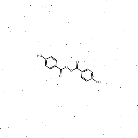 O=C(OOC(=O)c1ccc(O)cc1)c1ccc(O)cc1